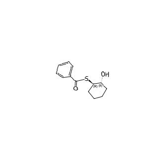 O=C(S[C@@H]1CCCC[C@H]1O)c1ccccc1